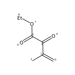 C=C(C)C(=O)C(=O)OCC